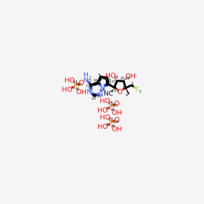 C[C@@]1(CF)O[C@@](C#N)(c2ccc3c(N)ncnn23)[C@H](O)[C@@H]1O.O=P(O)(O)O.O=P(O)(O)O.O=P(O)(O)O